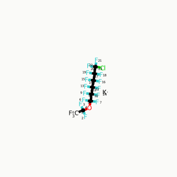 FC(F)(F)C(F)(F)OC(F)(F)C(F)(F)C(F)(F)C(F)(F)C(F)(F)C(F)(F)Cl.[K]